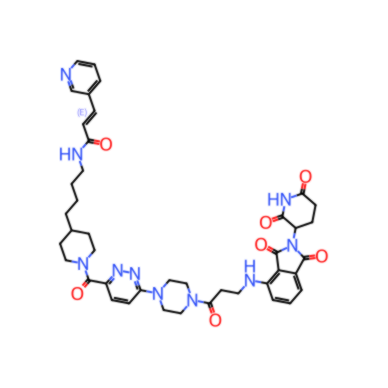 O=C(/C=C/c1cccnc1)NCCCCC1CCN(C(=O)c2ccc(N3CCN(C(=O)CCNc4cccc5c4C(=O)N(C4CCC(=O)NC4=O)C5=O)CC3)nn2)CC1